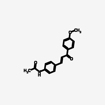 COc1ccc(C(=O)C=Cc2ccc(NC(C)=O)cc2)cc1